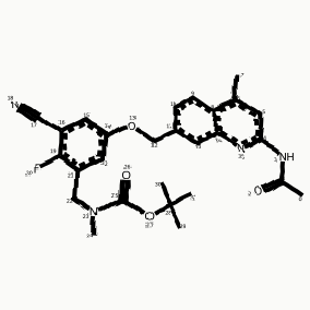 CC(=O)Nc1cc(C)c2ccc(COc3cc(C#N)c(F)c(CN(C)C(=O)OC(C)(C)C)c3)cc2n1